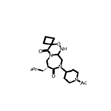 CC(=O)N1CCC(N2CC3NOC4(CCC4)C(=O)N3C[C@@H](CC(C)C)C2=O)CC1